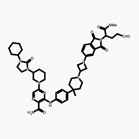 CNC(=O)C(CCC=O)N1C(=O)c2ccc(N3CC(N4CCC(C)(c5ccc(Nc6nc(N7CCCC(N8CCN(C9CCCCC9)C8=O)C7)cnc6C(N)=O)cc5)CC4)C3)cc2C1=O